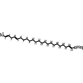 CCCCC=CC/C=C/CCCCCCC[CH]CCCCCCCCC=CCCCCCCC